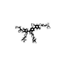 CCc1cc(OCOCC[Si](C)(C)C)c(F)cc1-c1ccc2c(-c3nc4c(n3COCC[Si](C)(C)C)CN(C(=O)CC(C)C)C4)nn(COCC[Si](C)(C)C)c2c1